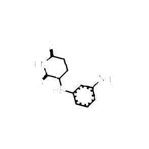 Nc1cccc(BC2CCC(=O)NC2=O)c1